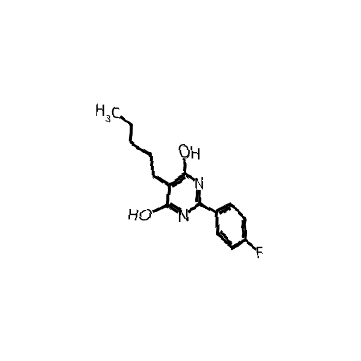 CCCCCc1c(O)nc(-c2ccc(F)cc2)nc1O